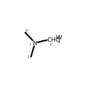 CN(C)C=O.[W]